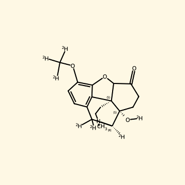 [2H]O[C@@]12CCC(=O)C3Oc4c(OC([2H])([2H])[2H])ccc5c4[C@@]31CCN(C)[C@]2([2H])C5([2H])[2H]